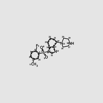 Cc1ccc(F)c(S(=O)(=O)n2cnc3c(N4CCNCC4)cccc32)c1